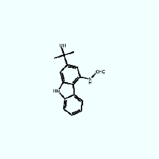 CC(C)(O)c1cc(NC=O)c2c(c1)[nH]c1ccccc12